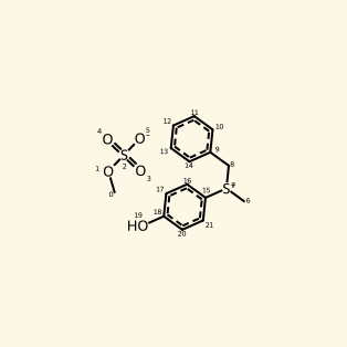 COS(=O)(=O)[O-].C[S+](Cc1ccccc1)c1ccc(O)cc1